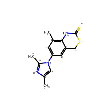 Cc1cn(-c2cc(C)c3c(c2)CSC(=S)N3)c(C)n1